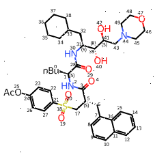 CCCC[C@H](NC(=O)[C@H](Cc1cccc2ccccc12)CS(=O)(=O)c1ccc(OC(C)=O)cc1)C(=O)N[C@@H](CC1CCCCC1)[C@@H](O)[C@@H](O)CN1CCOCC1